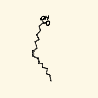 CCCCCC/C=C/C=C\CCCCCCC(=O)O